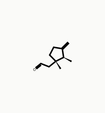 C=C1CC[C@@](C)(CC=O)[C@@H]1C